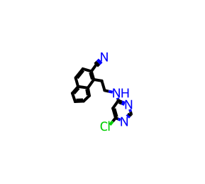 N#Cc1ccc2ccccc2c1CCNc1cc(Cl)ncn1